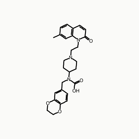 Cc1ccc2ccc(=O)n(CCN3CCC(N(Cc4ccc5c(c4)OCCO5)C(=O)O)CC3)c2c1